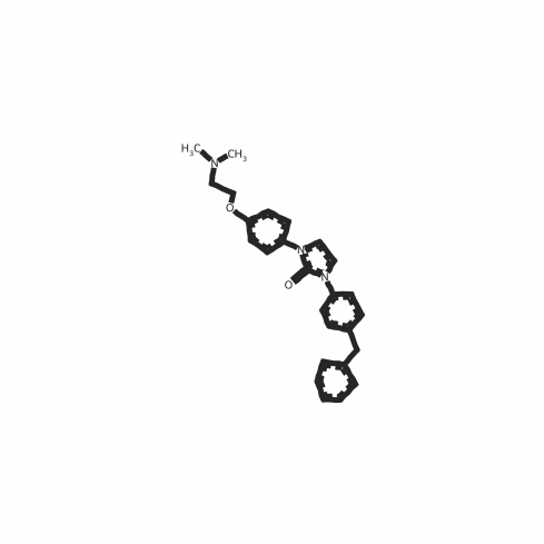 CN(C)CCOc1ccc(-n2ccn(-c3ccc(Cc4ccccc4)cc3)c2=O)cc1